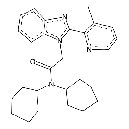 Cc1cccnc1-c1nc2ccccc2n1CC(=O)N(C1CCCCC1)C1CCCCC1